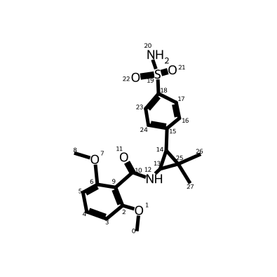 COc1cccc(OC)c1C(=O)NC1C(c2ccc(S(N)(=O)=O)cc2)C1(C)C